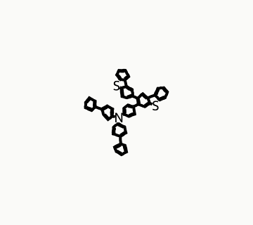 c1ccc(-c2ccc(N(c3ccc(-c4ccccc4)cc3)c3ccc(-c4cc5sc6ccccc6c5cc4-c4ccc5sc6ccccc6c5c4)cc3)cc2)cc1